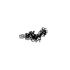 C#CCCCON(C(=O)C(NC(=O)[C@@]1(C)CCCN1CCO[Si](C)(C)C(C)(C)C)C(C)CC)C(CC(OC(C)=O)c1nc(C(=O)Oc2c(F)c(F)c(F)c(F)c2F)cs1)C(C)C